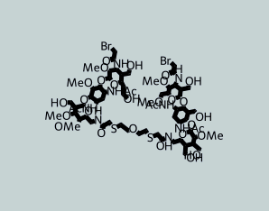 COCC1OC(OC2C(NC(C)=O)CC(NC(C)=O)C(OC3OC(CNC(=O)CSCCOCCSCC(=O)NCC4OC(OC5C(NC(C)=O)CC(NC(C)=O)C(OC6OC(CCO)C(CO)C(NC(=O)CBr)C6OC)C5OC)C(CO)C(OC)C4OC)C(CO)C(CO)C3OC)C2CO)C(CO)C(NC(=O)CBr)C1OC